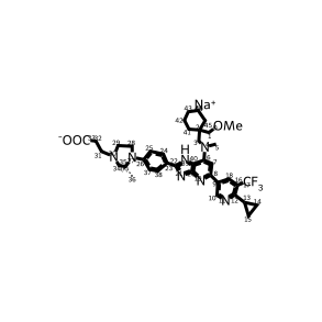 COCC1(CN(C)c2cc(-c3cnc(C4CC4)c(C(F)(F)F)c3)nc3nc(-c4ccc(N5CCN(CCC(=O)[O-])C[C@H]5C)cc4)[nH]c23)CCCCC1.[Na+]